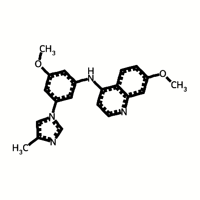 COc1cc(Nc2ccnc3cc(OC)ccc23)cc(-n2cnc(C)c2)c1